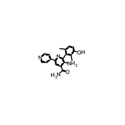 Cc1ccc(O)c(C)c1-c1nc(-c2ccncc2)cc(C(N)=O)c1N